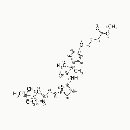 COC(=O)CCCOc1ccc(C(C)(C)C(=O)Nc2ncc(SCc3ncc(C(C)(C)C)o3)s2)cc1